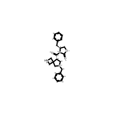 O=C1OC[C@H](Cc2ccccc2)N1C(=O)[C@@H]1CN(Cc2ccccc2)CC12CNC2